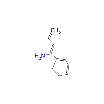 C=CC=C(N)c1ccccc1